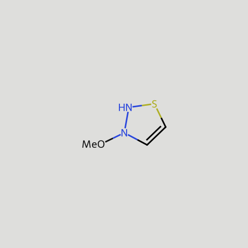 CON1C=CSN1